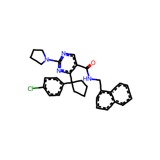 O=C(NCc1cccc2ccccc12)c1cnc(N2CCCC2)nc1C1(c2ccc(Cl)cc2)CCCC1